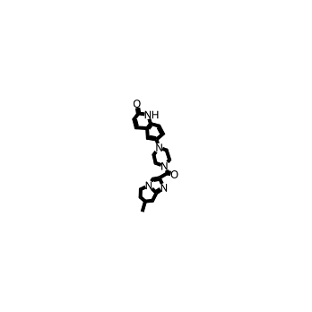 CC1CCn2cc(C(=O)N3CCN(c4ccc5[nH]c(=O)ccc5c4)CC3)nc2C1